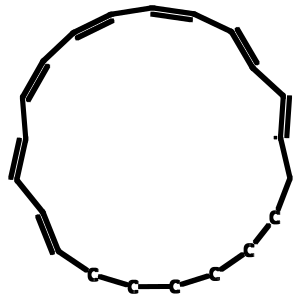 [C]1=C/C=C/C=C\C=C/C=C\C=C\C=C\CCCCCCC/1